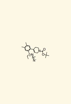 CC[C@H](N=[N+]=[N-])c1cc(C)c(C)cc1C1=CCN(C(=O)OC(C)(C)C)CC1